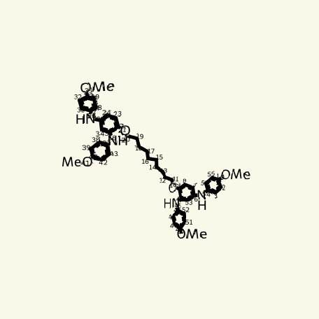 COc1ccc(Nc2ccc(OCCCCCCCCCCOc3ccc(Nc4ccc(OC)cc4)cc3Nc3ccc(OC)cc3)c(Nc3ccc(OC)cc3)c2)cc1